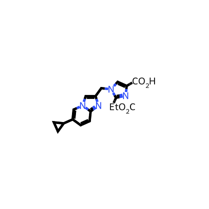 CCOC(=O)c1nc(C(=O)O)cn1Cc1cn2cc(C3CC3)ccc2n1